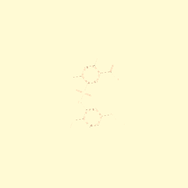 CNc1cnc(OC)c(NS(=O)(=O)c2cc(C(=O)O)c(F)cc2F)c1